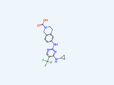 O=C(O)N1CCc2cc(Nc3ncc(C(F)(F)F)c(NC4CC4)n3)ccc2C1